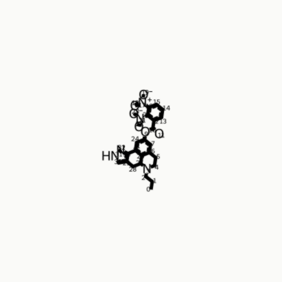 CCCN1CCc2cc(OC(=O)c3cccc([N+](=O)[O-])c3[N+](=O)[O-])cc3c2C1Cc1c[nH]nc1-3